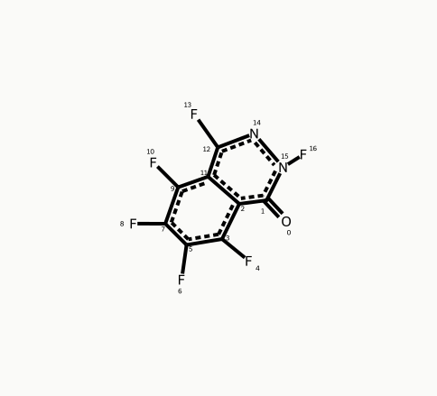 O=c1c2c(F)c(F)c(F)c(F)c2c(F)nn1F